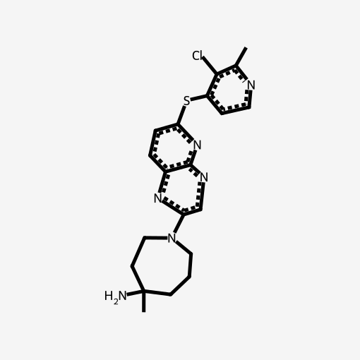 Cc1nccc(Sc2ccc3nc(N4CCCC(C)(N)CC4)cnc3n2)c1Cl